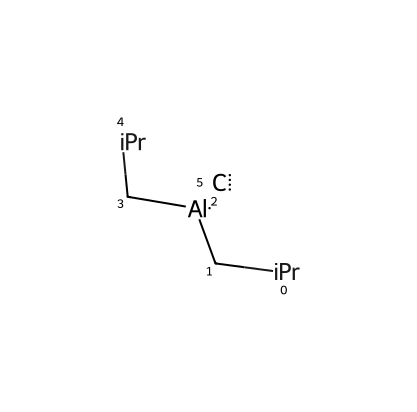 CC(C)[CH2][Al][CH2]C(C)C.[C]